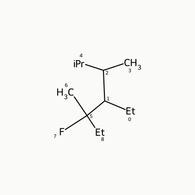 CCC(C(C)C(C)C)C(C)(F)CC